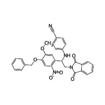 COc1cc(C(CN2C(=O)c3ccccc3C2=O)Nc2ccc(C#N)cc2)c([N+](=O)[O-])cc1OCc1ccccc1